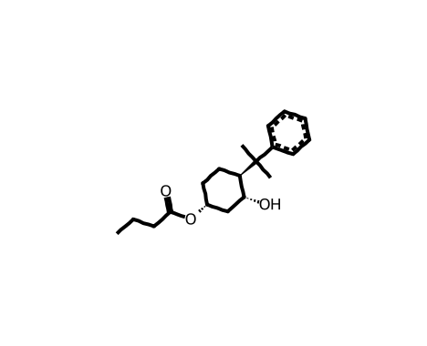 CCCC(=O)O[C@@H]1CC[C@@H](C(C)(C)c2ccccc2)[C@H](O)C1